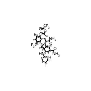 NC(=O)c1cc(NC2=NCC(F)CN2)c2cnn(C(C(N)=O)[C@@H](CC(=O)OC(=O)C(F)(F)F)c3cc(F)cc(C(F)(F)F)c3)c2c1